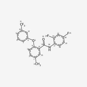 Cc1cnc(Oc2cccc(C(F)(F)F)c2)c(C(=O)Nc2ccc(F)cc2F)c1